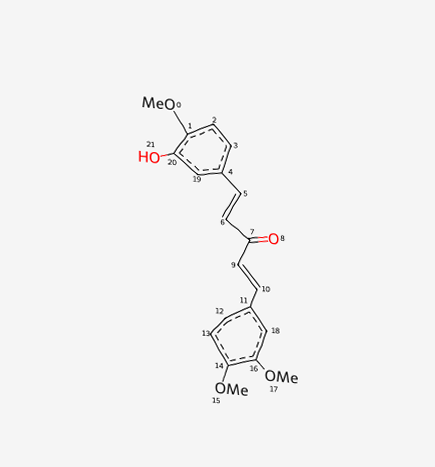 COc1ccc(C=CC(=O)C=Cc2ccc(OC)c(OC)c2)cc1O